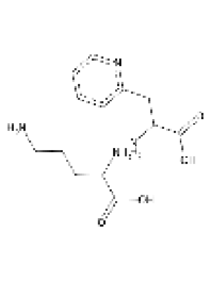 NC(Cc1ccccn1)C(=O)O.NCCCC(N)C(=O)O